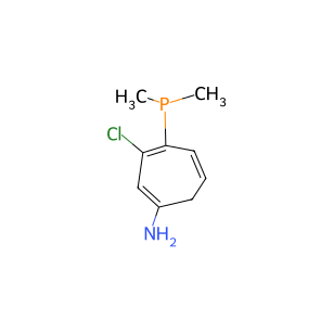 CP(C)C1=C(Cl)C=C(N)CC=C1